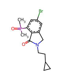 CP(C)(=O)c1cc(Br)cc2c1C(=O)N(CCC1CC1)C2